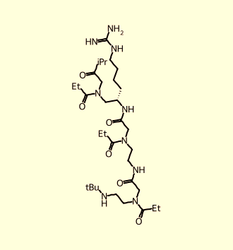 CCC(=O)N(CCNC(C)(C)C)CC(=O)NCCN(CC(=O)N[C@@H](CCCCNC(=N)N)CN(CC(=O)C(C)C)C(=O)CC)C(=O)CC